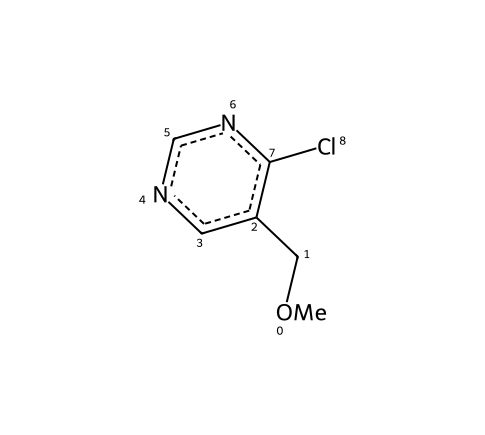 COCc1cncnc1Cl